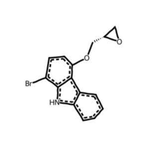 Brc1ccc(OC[C@@H]2CO2)c2c1[nH]c1ccccc12